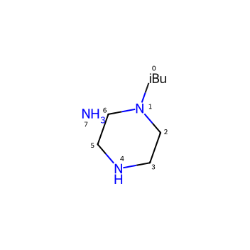 CCC(C)N1CCNCC1.N